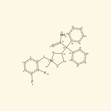 C[N+]1(Cc2cccc(F)c2F)CCC(C(C(N)=O)(c2ccccc2)c2ccccc2)C1